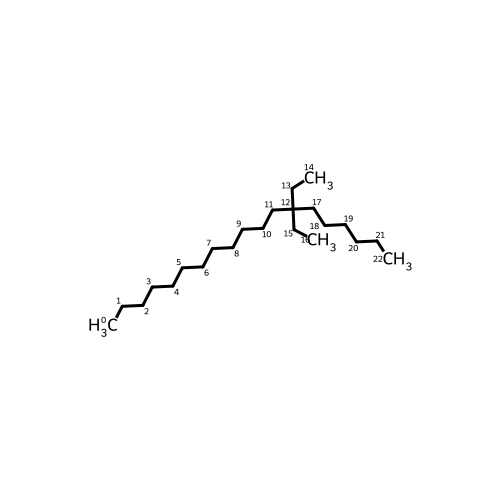 CCCCCCCCCCCCC(CC)(CC)CCCCCC